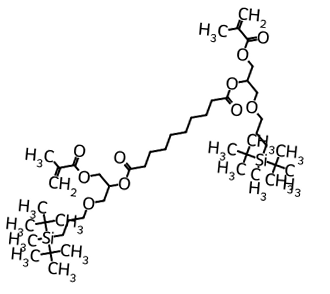 C=C(C)C(=O)OCC(COCCC[Si](C)(C(C)(C)C)C(C)(C)C)OC(=O)CCCCCCCCC(=O)OC(COCCC[Si](C)(C(C)(C)C)C(C)(C)C)COC(=O)C(=C)C